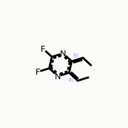 C/C=c1/nc(F)c(F)n/c1=C/C